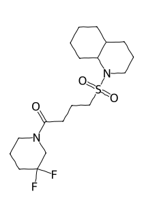 O=C(CCCS(=O)(=O)N1CCCC2CCCCC21)N1CCCC(F)(F)C1